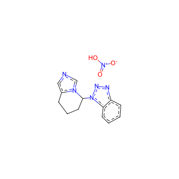 O=[N+]([O-])O.c1ccc2c(c1)nnn2C1CCCc2cncn21